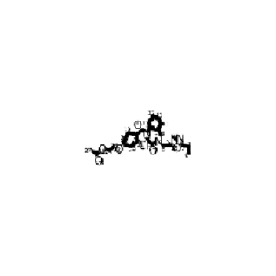 CCc1nnc(CN2Cc3ccccc3N(C(=O)c3ccc(OCCOC(C)=O)cc3Cl)CC2=O)o1